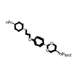 CCCCC[C@H]1CO[C@H](c2ccc(OCCC[C@H]3CC[C@H](CCC)CC3)cc2)OC1